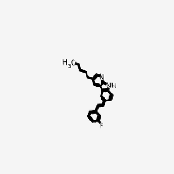 CCCCCc1cnc2[nH]c3ccc(C=Cc4cccc(F)c4)cc3c2c1